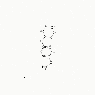 COc1ccc(CC2CCOCC2)cc1